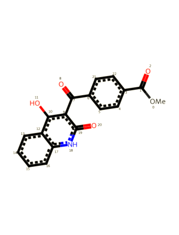 COC(=O)c1ccc(C(=O)c2c(O)c3ccccc3[nH]c2=O)cc1